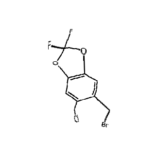 FC1(F)Oc2cc(Cl)c(CBr)cc2O1